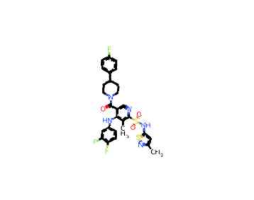 Cc1cc(NS(=O)(=O)c2ncc(C(=O)N3CCC(c4ccc(F)cc4)CC3)c(Nc3ccc(F)c(F)c3)c2C)sn1